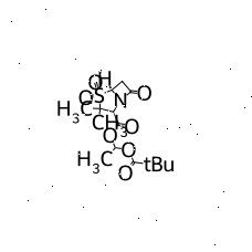 CC(OC(=O)[C@@H]1N2C(=O)C[C@H]2S(=O)(=O)C1(C)C)OC(=O)C(C)(C)C